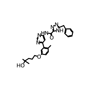 Cc1ccc(OCCCC(C)(C)O)cc1-c1cc(NC(=O)c2nnc(Cc3ccccc3)[nH]2)ncn1